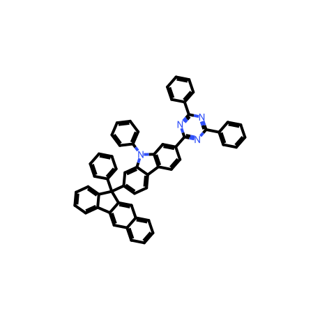 c1ccc(-c2nc(-c3ccccc3)nc(-c3ccc4c5ccc(C6(c7ccccc7)c7ccccc7-c7cc8ccccc8cc76)cc5n(-c5ccccc5)c4c3)n2)cc1